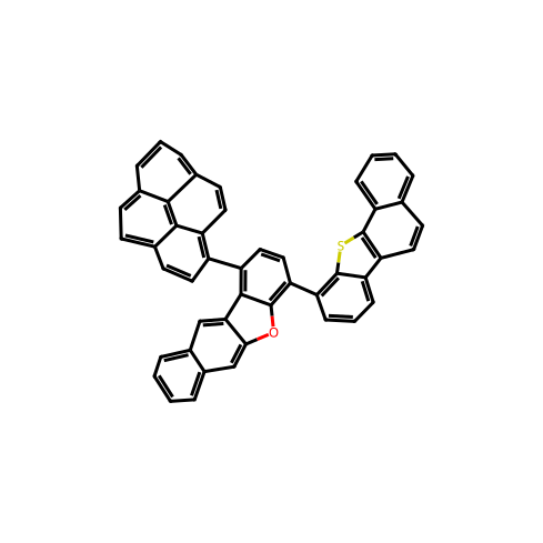 c1ccc2cc3c(cc2c1)oc1c(-c2cccc4c2sc2c5ccccc5ccc42)ccc(-c2ccc4ccc5cccc6ccc2c4c56)c13